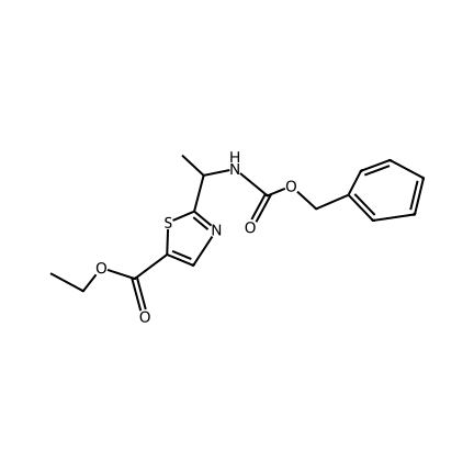 CCOC(=O)c1cnc(C(C)NC(=O)OCc2ccccc2)s1